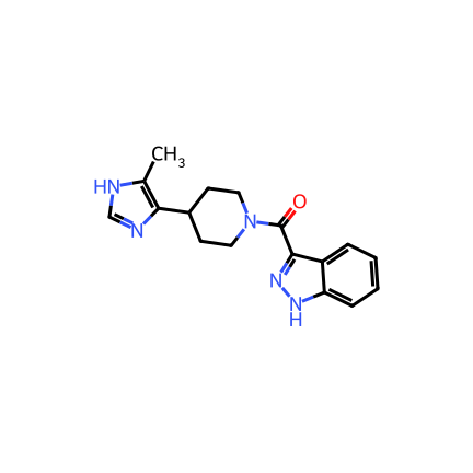 Cc1[nH]cnc1C1CCN(C(=O)c2n[nH]c3ccccc23)CC1